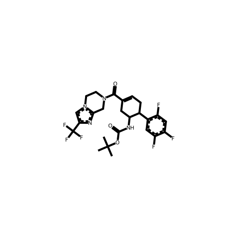 CC(C)(C)OC(=O)NC1CC(C(=O)N2CCn3cc(C(F)(F)F)nc3C2)=CCC1c1cc(F)c(F)cc1F